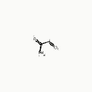 O=[C]C(=O)P